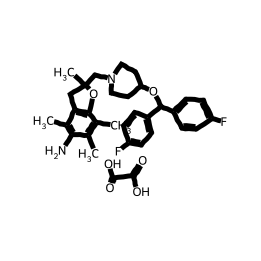 Cc1c(C)c2c(c(C)c1N)CC(C)(CN1CCC(OC(c3ccc(F)cc3)c3ccc(F)cc3)CC1)O2.O=C(O)C(=O)O